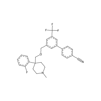 CN1CCC(COCc2cc(-c3ccc(C#N)cc3)cc(C(F)(F)F)c2)(c2ccccc2F)CC1